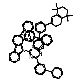 CC1(C)CCC(C)(C)C2=C1C=C(c1cccc(-c3ccccc3-n3c4ccccc4c4ccc5c6ccccc6n(-c6nc(-c7cccc(-c8ccccc8)c7)nc(-c7ccccc7-c7ccccc7)n6)c5c43)c1)CC2